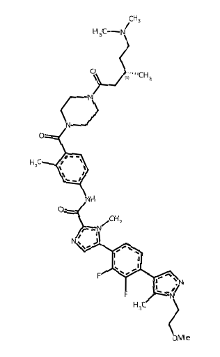 COCCn1ncc(-c2ccc(-c3cnc(C(=O)Nc4ccc(C(=O)N5CCN(C(=O)C[C@@H](C)CCN(C)C)CC5)c(C)c4)n3C)c(F)c2F)c1C